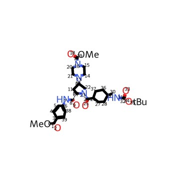 COC(=O)c1ccc(NC(=O)[C@@H]2C[C@H](N3CCN(C(=O)OC)CC3)CN2C(=O)C2CCC(CNC(=O)OC(C)(C)C)CC2)cc1